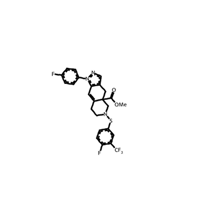 COC(=O)C12Cc3cnn(-c4ccc(F)cc4)c3C=C1CCN(Sc1ccc(F)c(C(F)(F)F)c1)C2